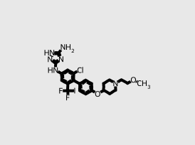 COCCN1CCC(Oc2ccc(-c3c(Cl)cc(Nc4n[nH]c(N)n4)cc3C(F)(F)I)cc2)CC1